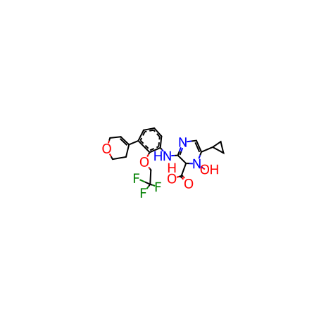 O=C(O)C1C(Nc2cccc(C3=CCOCC3)c2OCC(F)(F)F)=NC=C(C2CC2)N1O